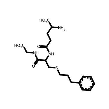 NC(CCC(=O)NC(CSCCCc1ccccc1)C(=O)NCC(=O)O)C(=O)O